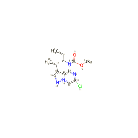 C=CCN(C(=O)OC(C)(C)C)c1nc(Cl)cn2ncc(C=C)c12